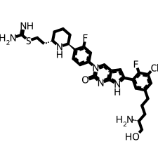 N=C(N)SCC[C@@H]1CCC[C@@H](c2ccc(-n3cc4cc(-c5cc(CCC[C@@H](N)CO)cc(Cl)c5F)[nH]c4nc3=O)cc2F)N1